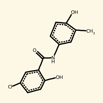 Cc1cc(NC(=O)c2cc(Cl)ccc2O)ccc1O